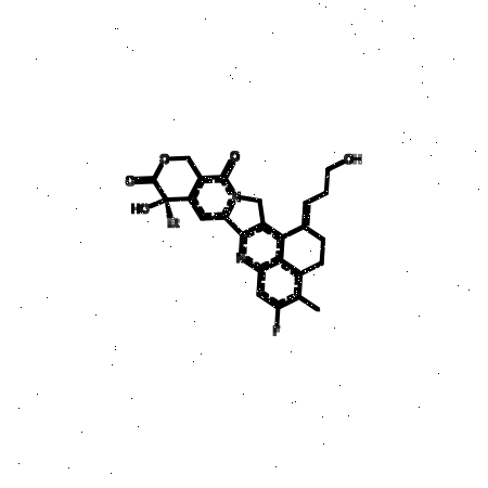 CC[C@@]1(O)C(=O)OCc2c1cc1n(c2=O)Cc2c-1nc1cc(F)c(C)c3c1c2/C(=C/CCO)CC3